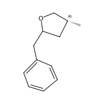 C[C@H]1COC(Cc2ccccc2)C1